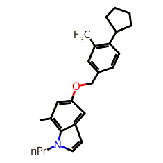 CCCn1ccc2cc(OCc3ccc(C4CCCC4)c(C(F)(F)F)c3)cc(C)c21